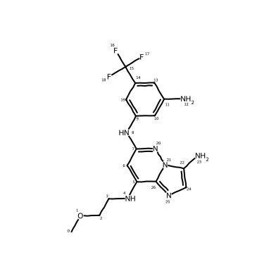 COCCNc1cc(Nc2cc(N)cc(C(F)(F)F)c2)nn2c(N)cnc12